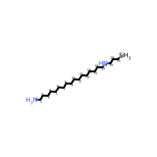 NCCCCCCCCCCCCCCCCCNCCC[SiH3]